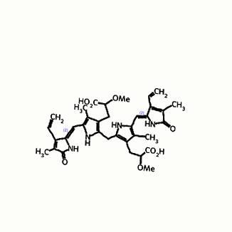 C=CC1=C(C)C(=O)N/C1=C\c1[nH]c(Cc2[nH]c(/C=C3\NC(=O)C(C)=C3C=C)c(C)c2CC(OC)C(=O)O)c(CC(OC)C(=O)O)c1C